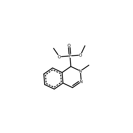 COP(=O)(OC)C1c2ccccc2C=NN1C